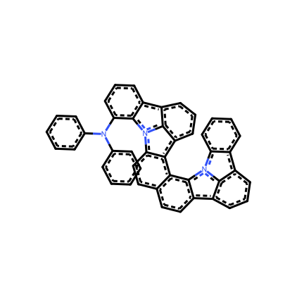 c1ccc(N(c2ccccc2)c2cccc3c4cccc5c6c7c(ccc8c9cccc%10c%11ccccc%11n(c%109)c87)ccc6n(c23)c45)cc1